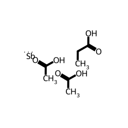 CC(=O)O.CC(=O)O.CCC(=O)O.[Sb]